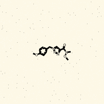 COc1ccc(Cn2cc(C(=O)N(C)OC)nn2)cc1